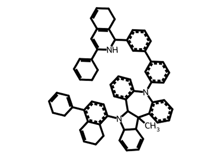 CC12c3ccccc3N(c3cccc(-c4cccc(C5NC(C6=CC=CCC6)=CC6=C5CCC=C6)c4)c3)c3ccccc3C1N(c1ccc(C3=CC=CCC3)c3c1CCC=C3)C1C=CC=CC12